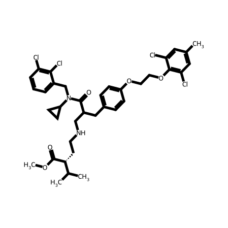 COC(=O)[C@H](CCNCC(Cc1ccc(OCCOc2c(Cl)cc(C)cc2Cl)cc1)C(=O)N(Cc1cccc(Cl)c1Cl)C1CC1)C(C)C